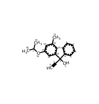 C#CC(O)(c1ccccc1)c1cc(C)cc(OC(C)C)c1